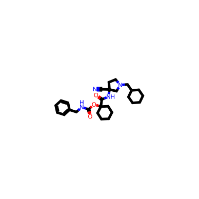 N#CC1(NC(=O)C2(OC(=O)NCc3ccccc3)CCCCC2)CCN(CC2CCCCC2)C1